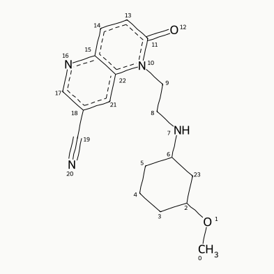 COC1CCCC(NCCn2c(=O)ccc3ncc(C#N)cc32)C1